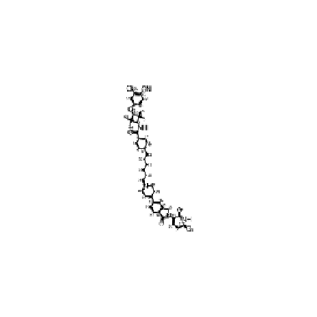 CC1(C)C(NC(=O)c2ccc(CCCCCCN3CCC(c4ccc5c(c4)CN(C4CCC(=O)NC4=O)C5=O)CC3)nc2)C(C)(C)C1Oc1ccc(C#N)c(Cl)c1